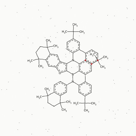 CC(C)(C)c1ccc(N2c3cc(C(C)(C)C)cc4c3B(c3oc5cc6c(cc5c32)C(C)(C)CCC6(C)C)N(c2ccc3c(c2)C(C)(C)CCC3(C)C)c2cc(C(C)(C)C)ccc2-4)c(-c2ccccc2)c1